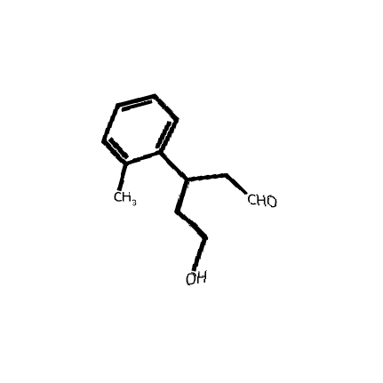 Cc1ccccc1C(CC=O)CCO